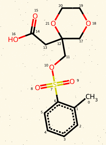 Cc1ccccc1S(=O)(=O)OCC1(CC(=O)O)COCCO1